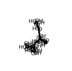 C[C@@H]1O[C@@H](OCCNC(=O)CCCCCNC(=O)CN(CC(=O)NNCCO[C@H]2O[C@H](CO[C@H]3O[C@H](CO)[C@@H](O)[C@H](O)[C@@H]3O)[C@@H](O)[C@H](O[C@H]3O[C@H](CO)[C@@H](O)[C@H](O)[C@@H]3O)[C@@H]2O)CC(=O)NON2C(=O)CCC2=O)[C@@H](O)[C@H](O)[C@@H]1O